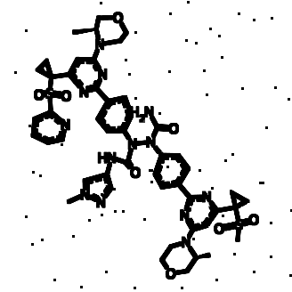 C[C@H]1COCCN1c1cc(C2(S(C)(=O)=O)CC2)nc(-c2ccc(N(C(N)=O)N(C(=O)Nc3cnn(C)c3)c3ccc(-c4nc(N5CCOC[C@@H]5C)cc(C5(S(=O)(=O)c6ccccn6)CC5)n4)cc3)cc2)n1